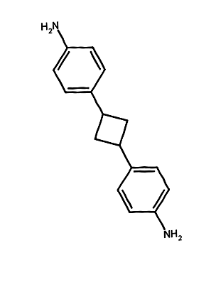 Nc1ccc(C2CC(c3ccc(N)cc3)C2)cc1